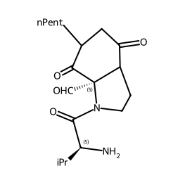 CCCCCC1CC(=O)C2CCN(C(=O)[C@@H](N)C(C)C)[C@@]2(C=O)C1=O